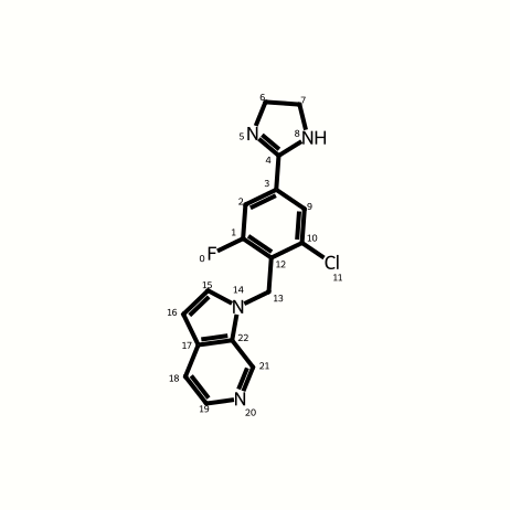 Fc1cc(C2=NCCN2)cc(Cl)c1Cn1ccc2ccncc21